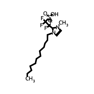 CCCCCCCCCCCCN1C=CN(C)C1C(F)(F)C(F)(F)S(=O)(=O)O